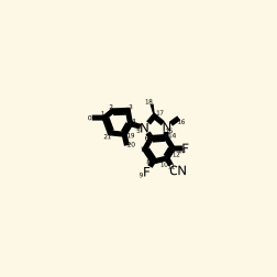 Cc1ccc(N2c3cc(F)c(C#N)c(F)c3N(C)[C@@H]2C)c(C)c1